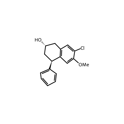 COc1cc2c(cc1Cl)C[C@@H](O)C[C@@H]2c1ccccc1